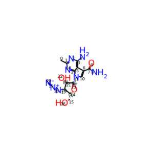 Cc1nc(N)c2c(C(N)=O)cn([C@@H]3O[C@H](CO)[C@@H](N=[N+]=[N-])[C@H]3O)c2n1